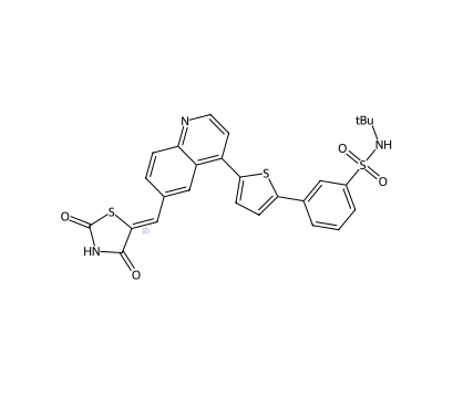 CC(C)(C)NS(=O)(=O)c1cccc(-c2ccc(-c3ccnc4ccc(/C=C5\SC(=O)NC5=O)cc34)s2)c1